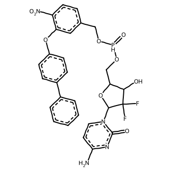 Nc1ccn(C2OC(CO[PH](=O)OCc3ccc([N+](=O)[O-])c(Oc4ccc(-c5ccccc5)cc4)c3)C(O)C2(F)F)c(=O)n1